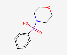 O=P(O)(c1ccccc1)N1CCOCC1